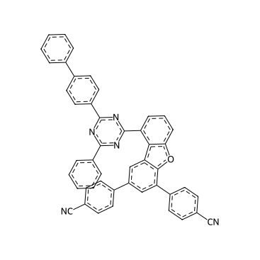 N#Cc1ccc(-c2cc(-c3ccc(C#N)cc3)c3oc4cccc(-c5nc(-c6ccccc6)nc(-c6ccc(-c7ccccc7)cc6)n5)c4c3c2)cc1